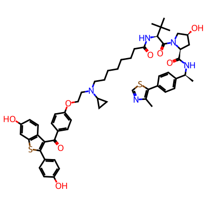 Cc1ncsc1-c1ccc([C@H](C)NC(=O)[C@@H]2C[C@H](O)CN2C(=O)[C@@H](NC(=O)CCCCCCCN(CCOc2ccc(C(=O)c3c(-c4ccc(O)cc4)sc4cc(O)ccc34)cc2)C2CC2)C(C)(C)C)cc1